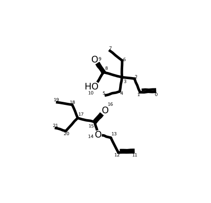 C=CCC(CC)(CC)C(=O)O.C=CCOC(=O)C(CC)CC